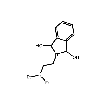 CCN(CC)CCN1C(O)c2ccccc2C1O